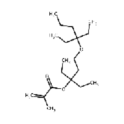 C=C(C)C(=O)OC(CC)(CC)CCOC(CC)(CC)CCC